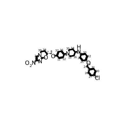 O=[N+]([O-])c1cn2c(n1)O[C@@H](COc1ccc(N3CCC(Nc4ccc(OCc5ccc(Cl)cc5)cc4)CC3)cc1)CC2